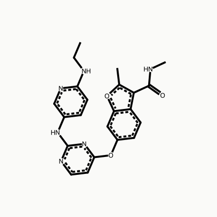 CCNc1ccc(Nc2nccc(Oc3ccc4c(C(=O)NC)c(C)oc4c3)n2)cn1